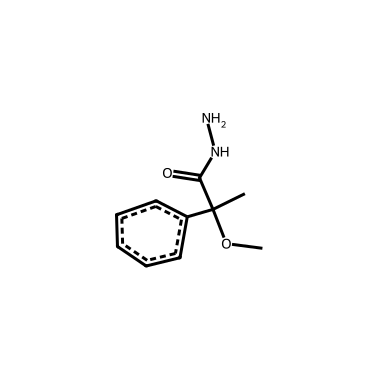 COC(C)(C(=O)NN)c1ccccc1